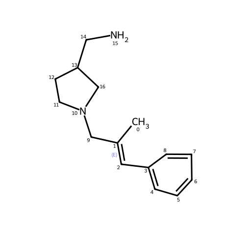 C/C(=C\c1ccccc1)CN1CCC(CN)C1